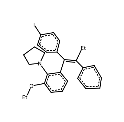 CCOc1cccc(C(=C(CC)c2ccccc2)c2ccc(I)cc2)c1N1CCCC1